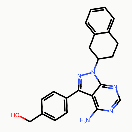 Nc1ncnc2c1c(-c1ccc(CO)cc1)nn2C1CCc2ccccc2C1